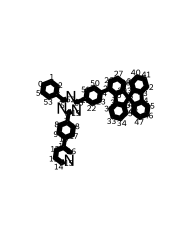 c1ccc(-c2nc(-c3ccc(-c4cccnc4)cc3)nc(-c3ccc(-c4cccc5c4-c4ccccc4C54c5ccccc5-c5ccccc54)cc3)n2)cc1